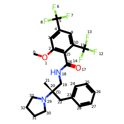 COc1cc(C(F)(F)F)cc(C(F)(F)F)c1C(=O)NC[C@](C)(Cc1ccccc1)N1CCCC1